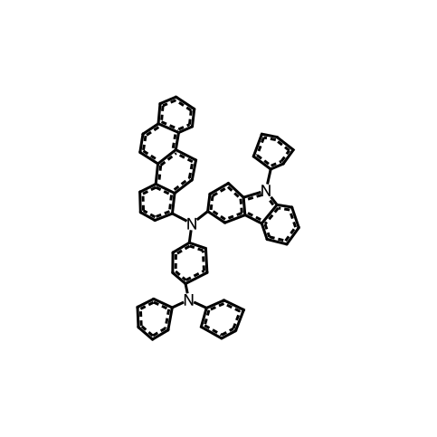 c1ccc(N(c2ccccc2)c2ccc(N(c3ccc4c(c3)c3ccccc3n4-c3ccccc3)c3cccc4c3ccc3c5ccccc5ccc43)cc2)cc1